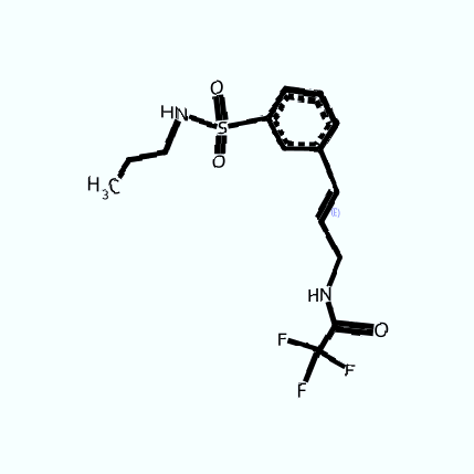 CCCNS(=O)(=O)c1cccc(/C=C/CNC(=O)C(F)(F)F)c1